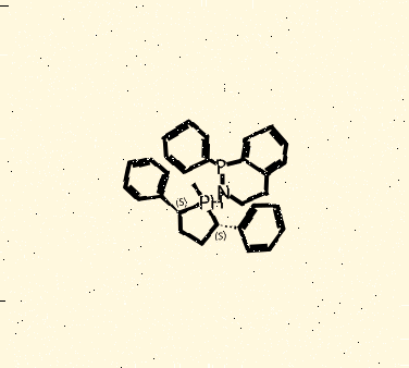 C[PH]1(N2CCc3ccccc3P2c2ccccc2)[C@H](c2ccccc2)CC[C@H]1c1ccccc1